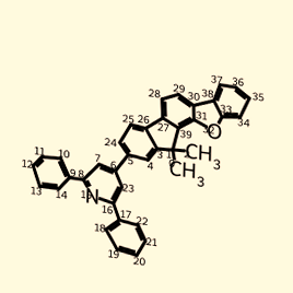 CC1(C)c2cc(-c3cc(-c4ccccc4)nc(-c4ccccc4)c3)ccc2-c2ccc3c(oc4ccccc43)c21